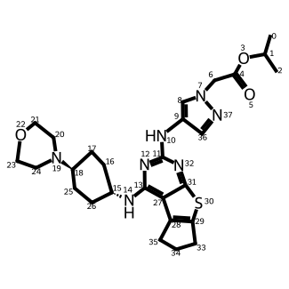 CC(C)OC(=O)Cn1cc(Nc2nc(N[C@H]3CC[C@H](N4CCOCC4)CC3)c3c4c(sc3n2)CCC4)cn1